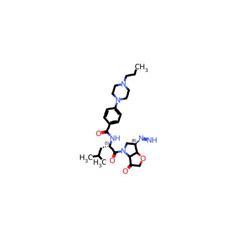 CCCN1CCN(c2ccc(C(=O)N[C@@H](CC(C)C)C(=O)N3C[C@@H](N=N)C4OCC(=O)C43)cc2)CC1